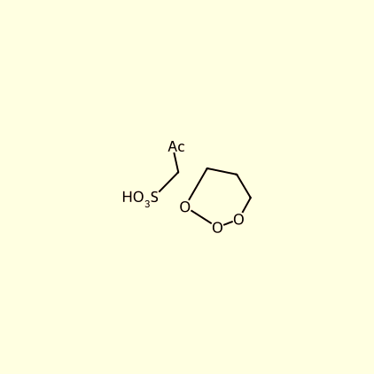 C1COOOC1.CC(=O)CS(=O)(=O)O